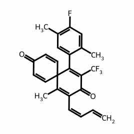 C=C/C=C\C1=C(C)C2(C=CC(=O)C=C2)C(c2cc(C)c(F)cc2C)=C(C(F)(F)F)C1=O